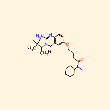 CN(C(=O)CCCOc1ccc2c(c1)CN(C(C(=O)O)C(C)(C)C(Cl)(Cl)Cl)C(N)=N2)C1CCCCC1